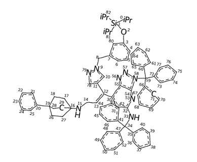 CC(C)[Si](Oc1cccc(Cn2cc(/C(=C\CNC34CCC(c5ccccc5)(CC3)CC4)c3cc(NC(c4ccccc4)(c4ccccc4)c4ccccc4)nc4c3nnn4C(c3ccccc3)(c3ccccc3)c3ccccc3)cn2)c1)(C(C)C)C(C)C